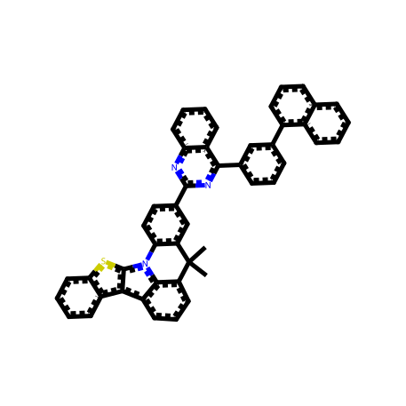 CC1(C)c2cc(-c3nc(-c4cccc(-c5cccc6ccccc56)c4)c4ccccc4n3)ccc2-n2c3sc4ccccc4c3c3cccc1c32